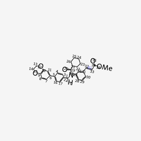 [2H]C(c1ccc(-c2ccc3c(c2)OCCO3)cc1)N(C(=O)C1CCCCC1)c1cccc(/C=C/C(=O)OC)c1